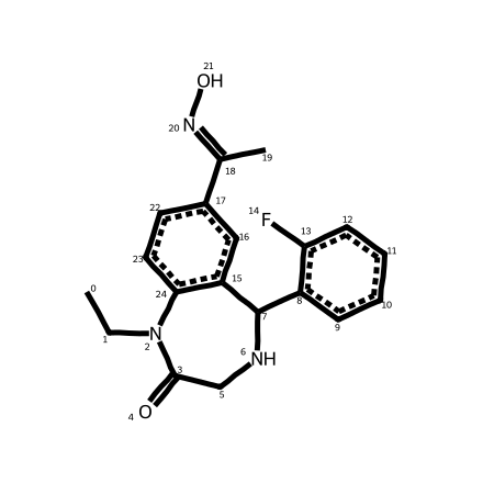 CCN1C(=O)CNC(c2ccccc2F)c2cc(C(C)=NO)ccc21